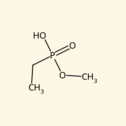 CCP(=O)(O)OC